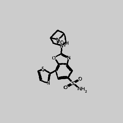 NS(=O)(=O)c1cc(-c2nccs2)c2oc(N3CC4CC(C3)N4C(=O)O)nc2c1